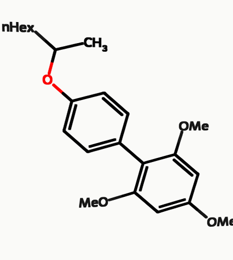 CCCCCCC(C)Oc1ccc(-c2c(OC)cc(OC)cc2OC)cc1